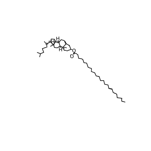 CCCCCCCCCCCCCCCCCCCCCCCC(=O)OC1CC[C@@]2(C)C(=CC[C@H]3[C@@H]4CC[C@H]([C@H](C)CCCC(C)C)[C@@]4(C)CC[C@@H]32)C1